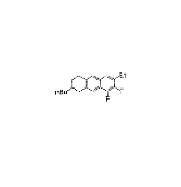 CCCCC1CCc2cc3cc(CC)c(F)c(F)c3cc2C1